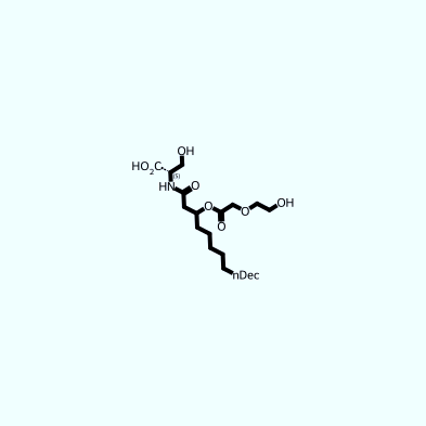 CCCCCCCCCCCCCCCC(CC(=O)N[C@@H](CO)C(=O)O)OC(=O)COCCO